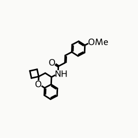 COc1ccc(/C=C/C(=O)NC2CC3(CCC3)Oc3ccccc32)cc1